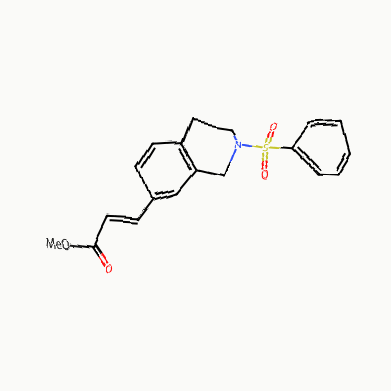 COC(=O)/C=C/c1ccc2c(c1)CN(S(=O)(=O)c1ccccc1)CC2